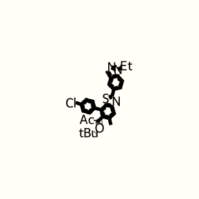 CCn1ncc2cc(-c3nc4cc(C)c([C@H](OC(C)(C)C)C(C)=O)c(-c5ccc(Cl)cc5)c4s3)ccc21